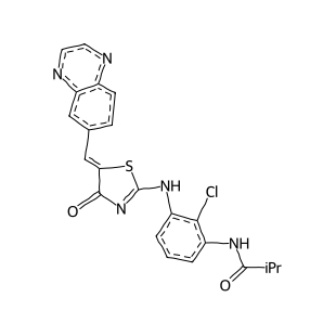 CC(C)C(=O)Nc1cccc(NC2=NC(=O)/C(=C/c3ccc4nccnc4c3)S2)c1Cl